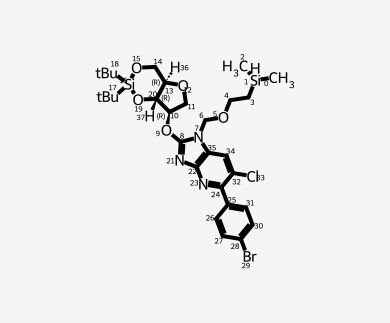 C[SiH](C)CCOCn1c(O[C@@H]2CO[C@@H]3CO[Si](C(C)(C)C)(C(C)(C)C)O[C@H]32)nc2nc(-c3ccc(Br)cc3)c(Cl)cc21